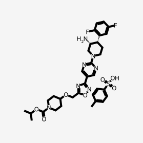 CC(C)OC(=O)N1CCC(OCc2nc(-c3cnc(N4CC[C@@H](c5cc(F)ccc5F)[C@@H](N)C4)nc3)no2)CC1.Cc1ccc(S(=O)(=O)O)cc1